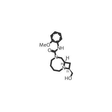 COc1ccccc1NC(=O)N1CCCCN2[C@H](CO)C[C@@H]2C1